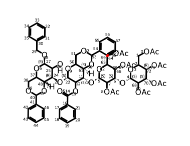 CC(=O)OCC1O[C@@H](O[C@@H]2C(OC(C)=O)[C@H](O[C@@H]3C(OC(=O)c4ccccc4)[C@H](O[C@@H]4C(O)[C@H](OCc5ccccc5)OC5COC(c6ccccc6)O[C@H]54)OC4COC(c5ccccc5)O[C@H]43)OC(COC(C)=O)[C@H]2OC(C)=O)C(OC(C)=O)[C@@H](OC(C)=O)[C@@H]1OC(C)=O